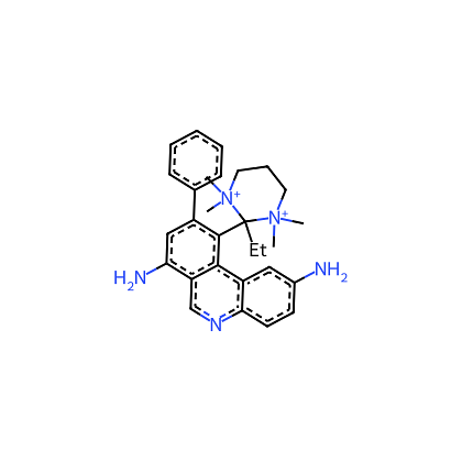 CCC1(c2c(-c3ccccc3)cc(N)c3cnc4ccc(N)cc4c23)[N+](C)(C)CCC[N+]1(C)C